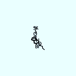 CCCCOc1nc2c(ccn2COCC[Si](C)(C)C)cc1Br